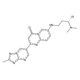 CC[C@@H](CCNc1ccc2nc(-c3cnc4nc(C)nn4c3)cc(=O)n2c1)N(C)C